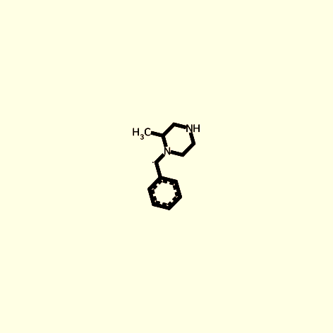 CC1CNCCN1[CH]c1ccccc1